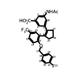 CC(=O)Nc1cc(C(=O)O)cc(C2=C(c3cc(C(F)(F)F)ccc3OCc3ccc(F)cc3)CCC2)c1